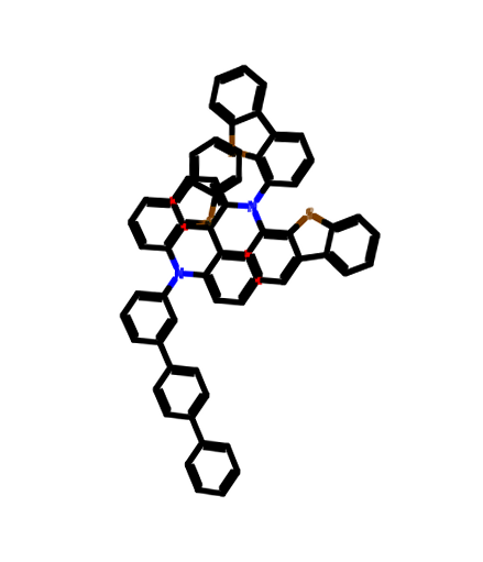 c1ccc(-c2ccc(-c3cccc(N(c4ccccc4-c4ccccc4N(c4cccc5c4sc4ccccc45)c4cccc5c4sc4ccccc45)c4cccc5c4sc4ccccc45)c3)cc2)cc1